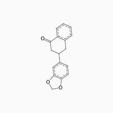 O=C1CC(c2ccc3c(c2)OCO3)Cc2ccccc21